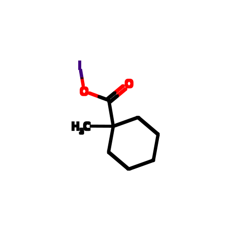 CC1(C(=O)OI)CCCCC1